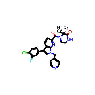 CC1(C)C(=O)NCCN1C(=O)c1ccc2c(-c3ccc(Cl)c(F)c3)cn(Cc3ccncc3)c2n1